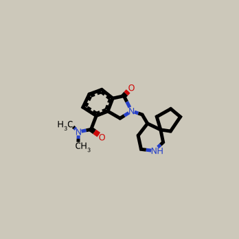 CN(C)C(=O)c1cccc2c1CN(CC1CCNCC13CCCC3)C2=O